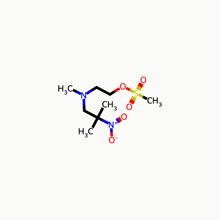 CN(CCOS(C)(=O)=O)CC(C)(C)[N+](=O)[O-]